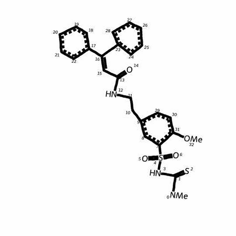 CNC(=S)NS(=O)(=O)c1cc(CCNC(=O)C=C(c2ccccc2)c2ccccc2)ccc1OC